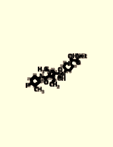 C=Cc1c(S(=O)(=O)NC2CCN(C(=O)C(=O)NCC)CC2)cn(C)c1C(=O)Nc1ccc(F)c(C)c1